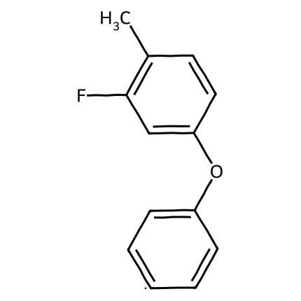 Cc1ccc(Oc2cc[c]cc2)cc1F